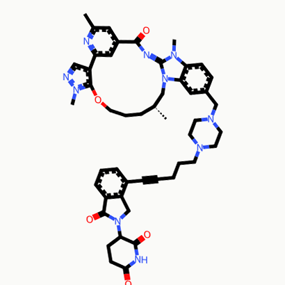 Cc1cc2cc(n1)-c1cnn(C)c1OCCC[C@@H](C)CN1/C(=N/C2=O)N(C)c2ccc(CN3CCN(CCCC#Cc4cccc5c4CN(C4CCC(=O)NC4=O)C5=O)CC3)cc21